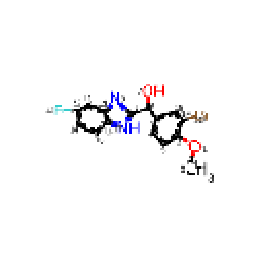 COc1ccc(C(O)c2nc3cc(F)ccc3[nH]2)cc1Br